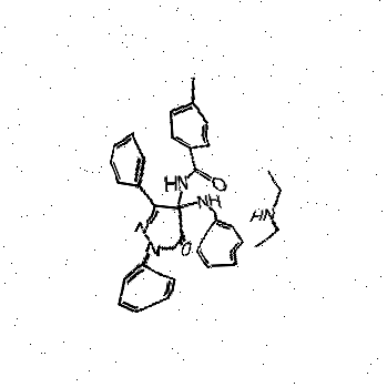 CCNCC.Cc1ccc(C(=O)NC2(Nc3ccccc3)C(=O)N(c3ccccc3)N=C2c2ccccc2)cc1